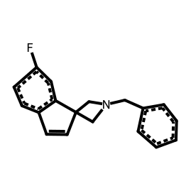 Fc1ccc2c(c1)C1(C=C2)CN(Cc2ccccc2)C1